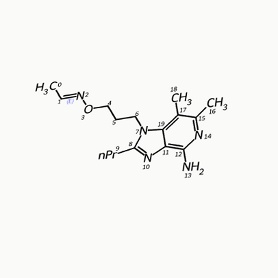 C/C=N/OCCCn1c(CCC)nc2c(N)nc(C)c(C)c21